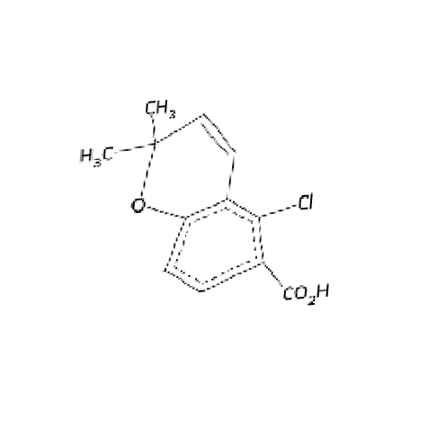 CC1(C)C=Cc2c(ccc(C(=O)O)c2Cl)O1